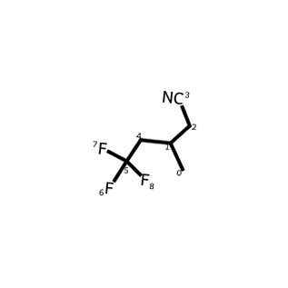 CC(CC#N)CC(F)(F)F